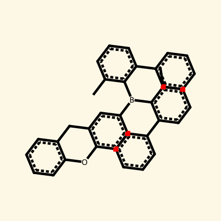 Cc1cccc(-c2ccccc2)c1B(c1ccc2c(c1)Cc1ccccc1O2)c1c(C)cccc1-c1ccccc1